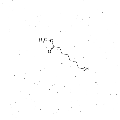 COC(=O)CCCCCCS